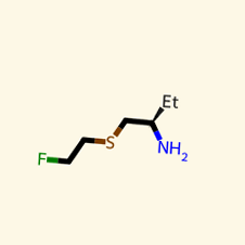 CC[C@@H](N)CSCCF